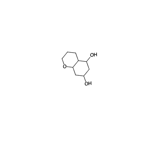 OC1CC(O)C2CCCOC2C1